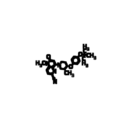 C[C@@H]1CN(c2cc(=O)n(C)c3ccc(C#N)nc23)CC[C@@H]1Oc1ccc(OC(C)(C)C)cc1